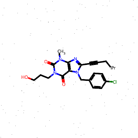 CC(C)CC#Cc1nc2c(c(=O)n(CCCO)c(=O)n2C)n1Cc1ccc(Cl)cc1